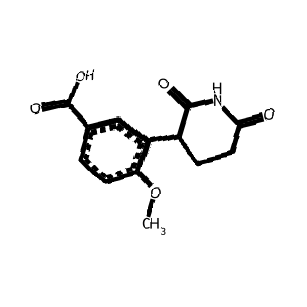 COc1ccc(C(=O)O)cc1C1CCC(=O)NC1=O